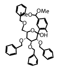 COC(OC)c1ccc(C)c(C2(O)O[C@H](COCc3ccccc3)[C@@H](OCc3ccccc3)[C@H](OCc3ccccc3)[C@H]2OCc2ccccc2)c1